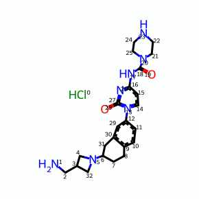 Cl.NCC1CN(C2CCc3ccc(-n4ccc(NC(=O)N5CCNCC5)nc4=O)cc3C2)C1